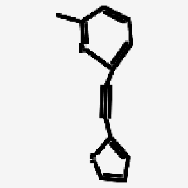 Cc1cccc(C#Cc2cccs2)n1